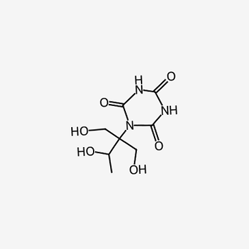 CC(O)C(CO)(CO)n1c(=O)[nH]c(=O)[nH]c1=O